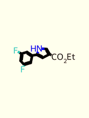 CCOC(=O)c1c[nH]c(-c2cc(F)cc(F)c2)c1